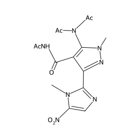 CC(=O)NC(=O)c1c(-c2ncc([N+](=O)[O-])n2C)nn(C)c1N(C(C)=O)C(C)=O